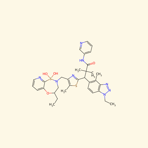 CCC1CN(Cc2nc(C(c3ccc4c(nnn4CC)c3C)C(C)(C)C(=O)Nc3cccnc3)sc2C)S(O)(O)c2ncccc2O1